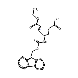 CCOC(=O)/C=C/C(CCC(=O)O)NC(=O)OCC1c2ccccc2-c2ccccc21